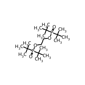 CC(C)(C)P(=O)(OCCOP(=O)(C(C)(C)C)C(C)(C)C)C(C)(C)C